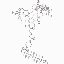 CC1(C)OCC(CN(CC2COC(C)(C)O2)C(=O)c2c(I)c(NC(=O)COCC(=O)N3CCN(S(=O)(=O)C(F)(F)C(F)(F)C(F)(F)C(F)(F)C(F)(F)C(F)(F)C(F)(F)C(F)(F)F)CC3)c(I)c(C(=O)N(CC3COC(C)(C)O3)CC3COC(C)(C)O3)c2I)O1